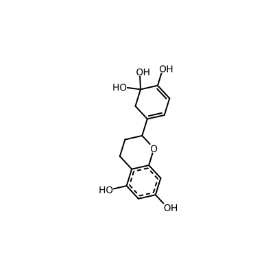 OC1=CC=C(C2CCc3c(O)cc(O)cc3O2)CC1(O)O